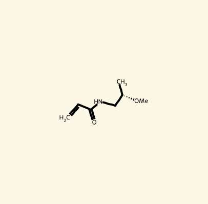 C=CC(=O)NC[C@H](C)OC